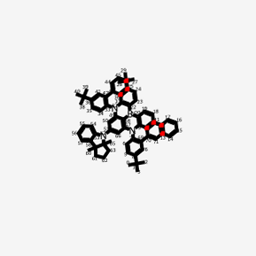 CC(C)(C)c1ccc(N2c3cc(-c4ccccc4)ccc3B3c4ccc(C(C)(C)C)cc4N(c4ccc(C(C)(C)C)cc4-c4ccccc4)c4cc(N5c6ccccc6C6(C)CCCC56C)cc2c43)c(-c2ccccc2)c1